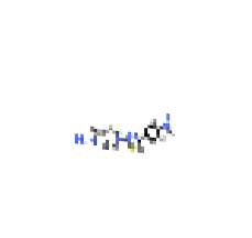 C=C(N)C1CCN(c2nc(-c3ccc(NC)cc3)cs2)CC1